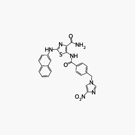 NC(=O)c1nc(Nc2ccc3ccccc3c2)sc1NC(=O)c1ccc(Cn2cnc([N+](=O)[O-])c2)cc1